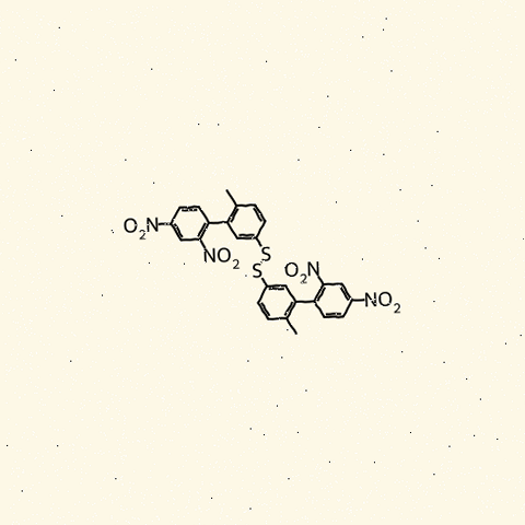 Cc1ccc(SSc2ccc(C)c(-c3ccc([N+](=O)[O-])cc3[N+](=O)[O-])c2)cc1-c1ccc([N+](=O)[O-])cc1[N+](=O)[O-]